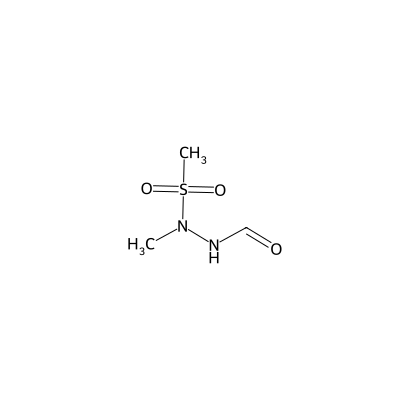 CN(NC=O)S(C)(=O)=O